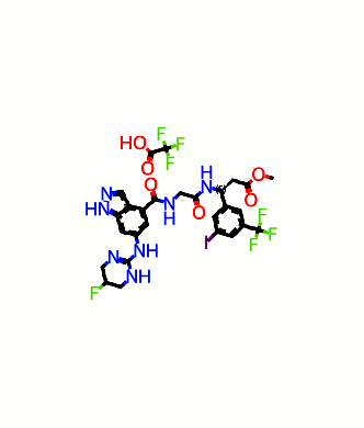 COC(=O)C[C@H](NC(=O)CNC(=O)c1cc(NC2=NCC(F)CN2)cc2[nH]ncc12)c1cc(I)cc(C(F)(F)F)c1.O=C(O)C(F)(F)F